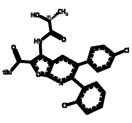 C[C@@H](O)C(=O)Nc1c(C(=O)C(C)(C)C)oc2nc(-c3ccccc3Cl)c(-c3ccc(Cl)cc3)cc12